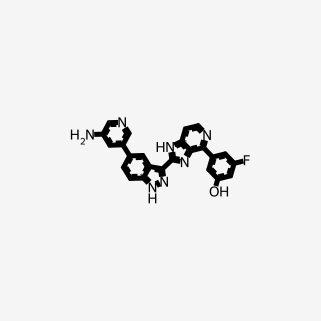 Nc1cncc(-c2ccc3[nH]nc(-c4nc5c(-c6cc(O)cc(F)c6)nccc5[nH]4)c3c2)c1